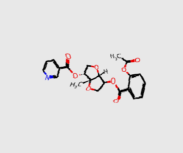 CC(=O)Oc1ccccc1C(=O)O[C@H]1CO[C@@]2(C)[C@@H]1OC[C@H]2OC(=O)c1cccnc1